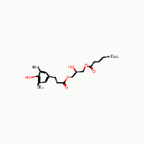 CCCCCCCCCCCCCC(=O)OCC(O)COC(=O)CCc1cc(C(C)(C)C)c(O)c(C(C)(C)C)c1